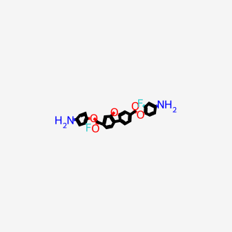 Nc1ccc(OC(=O)c2ccc3c(c2)oc2cc(C(=O)Oc4ccc(N)cc4F)ccc23)c(F)c1